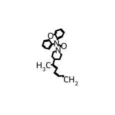 C=C/C=C\C=C(/C)C1CCN(C(=O)N2c3ccccc3Oc3ccccc32)CC1